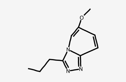 CCCc1nnc2ccc(OC)cn12